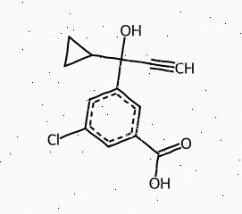 C#CC(O)(c1cc(Cl)cc(C(=O)O)c1)C1CC1